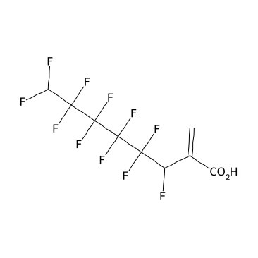 C=C(C(=O)O)C(F)C(F)(F)C(F)(F)C(F)(F)C(F)(F)C(F)F